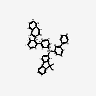 CC1(C)c2ccccc2-c2ccc(N(c3cccc(-c4ccccc4)c3)c3cccc(-c4cccc5oc6c7ccccc7ccc6c45)c3)cc21